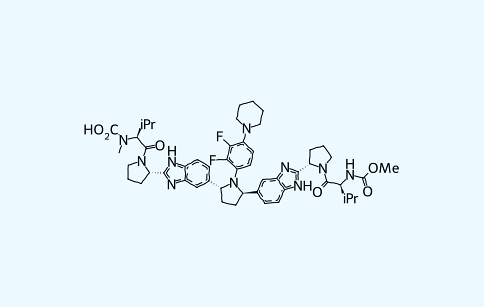 COC(=O)N[C@H](C(=O)N1CCC[C@H]1c1nc2cc([C@H]3CC[C@H](c4ccc5[nH]c([C@@H]6CCCN6C(=O)[C@H](C(C)C)N(C)C(=O)O)nc5c4)N3c3ccc(N4CCCCC4)c(F)c3F)ccc2[nH]1)C(C)C